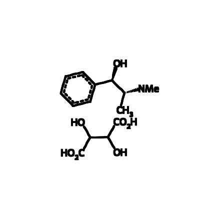 CN[C@H](C)[C@H](O)c1ccccc1.O=C(O)C(O)C(O)C(=O)O